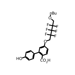 CCCCOCC(F)(F)C(F)(F)C(F)(F)COc1ccc(C(=O)O)c(-c2ccc(O)cc2)c1